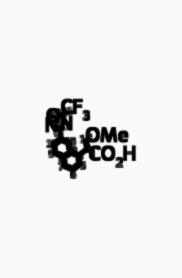 COC=C(C(=O)O)c1cccc2ccc(-c3noc(C(F)(F)F)n3)cc12